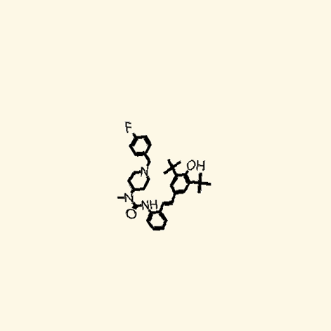 CN(C(=O)Nc1ccccc1/C=C/c1cc(C(C)(C)C)c(O)c(C(C)(C)C)c1)C1CCN(Cc2ccc(F)cc2)CC1